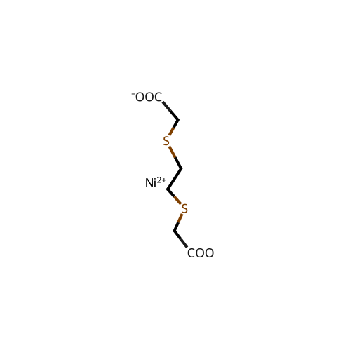 O=C([O-])CSCCSCC(=O)[O-].[Ni+2]